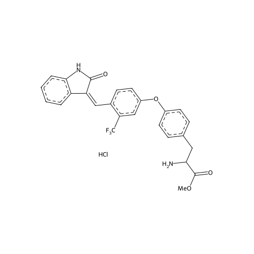 COC(=O)C(N)Cc1ccc(Oc2ccc(C=C3C(=O)Nc4ccccc43)c(C(F)(F)F)c2)cc1.Cl